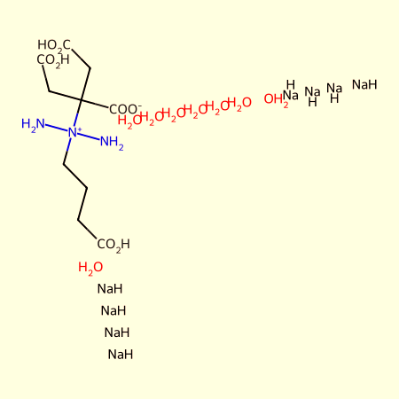 N[N+](N)(CCCC(=O)O)C(CC(=O)O)(CC(=O)O)C(=O)[O-].O.O.O.O.O.O.O.O.[NaH].[NaH].[NaH].[NaH].[NaH].[NaH].[NaH].[NaH]